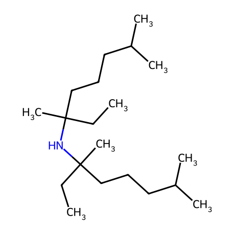 CCC(C)(CCCC(C)C)NC(C)(CC)CCCC(C)C